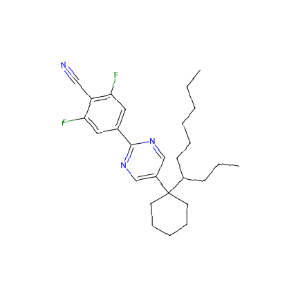 CCCCCCC(CCC)C1(c2cnc(-c3cc(F)c(C#N)c(F)c3)nc2)CCCCC1